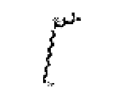 CCCCCCCCCCCCCCCCCCCCOC(CCCN(C)C)C(=O)O